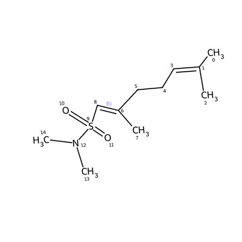 CC(C)=CCC/C(C)=C/S(=O)(=O)N(C)C